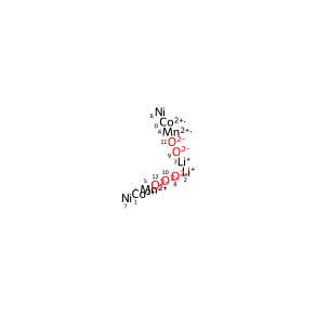 [Co+2].[Co+2].[Li+].[Li+].[Mn+2].[Mn+2].[Ni].[Ni].[O-2].[O-2].[O-2].[O-2].[O-2]